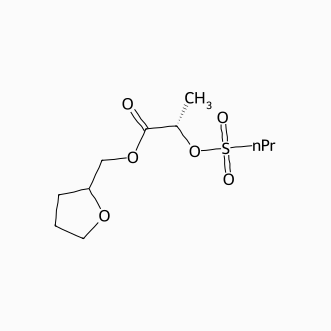 CCCS(=O)(=O)O[C@@H](C)C(=O)OCC1CCCO1